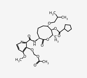 COc1ccnc(C(=O)N[C@H]2CCC[C@H](OCC(C)C)[C@@H](OC(=O)C3CCCC3)[C@H](C)OC2=O)c1OCOC(C)=O